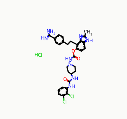 Cc1nc2c(CCc3ccc(C(=N)N)cc3)c(OC(=O)NN3CCC(NC(=O)Nc4cccc(Cl)c4Cl)CC3)ccc2[nH]1.Cl